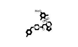 COc1cc(C)c(S(=O)(=O)N2CCn3cccc3C2CC(=O)N2CCN(Cc3ccc(C)cc3)CC2)c(C)c1